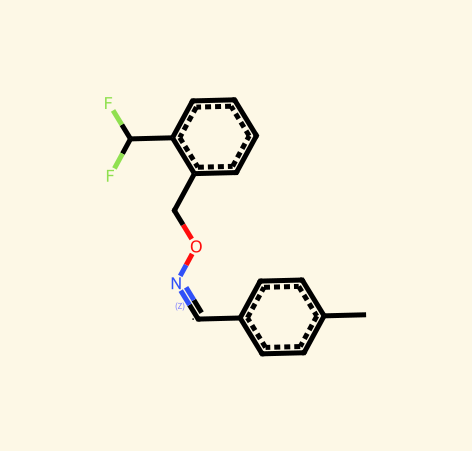 Cc1ccc(/[C]=N\OCc2ccccc2C(F)F)cc1